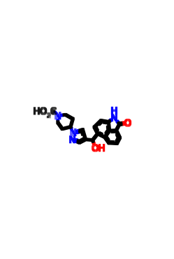 O=C1Nc2ccc(C(O)c3cnn(C4CCN(C(=O)O)CC4)c3)c3cccc1c23